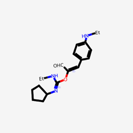 CCN/C(=N\C1CCCC1)O/C(C=O)=C/c1ccc(NCC)cc1